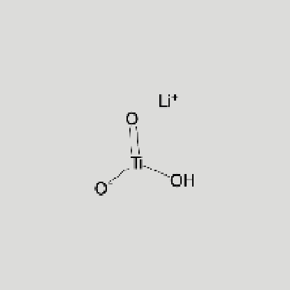 [Li+].[O]=[Ti]([O-])[OH]